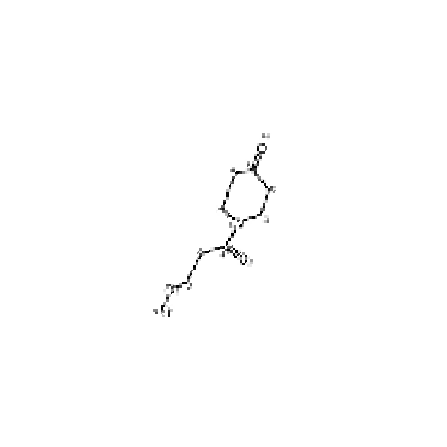 CCOCCC(=O)N1CCC(=O)CC1